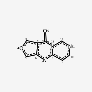 O=c1c2cocc2nc2ccncn12